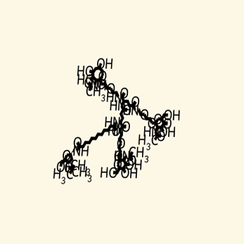 CC(=O)NC1C(OCCOCCNC(=O)CCC(NC(=O)CCC(NC(=O)CCCCCCCCCCC(=O)NC[C@@H]2C[C@H](OC(C)(C)C)/C(=C\O)O2)C(=O)NCCOCCOC2OC(CO)C(O)C(O)C2NC(C)=O)C(=O)NCCOCCOC2OCC(O)CC(O)C(O)C2NC(C)=O)OC(CO)C(=O)C1O